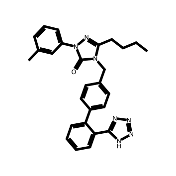 CCCCc1nn(-c2cccc(C)c2)c(=O)n1Cc1ccc(-c2ccccc2-c2nnn[nH]2)cc1